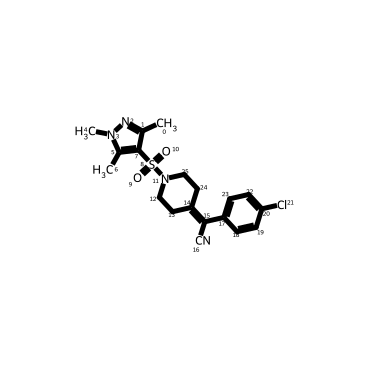 Cc1nn(C)c(C)c1S(=O)(=O)N1CCC(=C(C#N)c2ccc(Cl)cc2)CC1